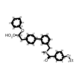 CCOc1ccc(C(=O)N(C)Cc2cccc(-c3ccc(C[C@H](Oc4ccccc4)C(=O)O)cc3)c2)cc1